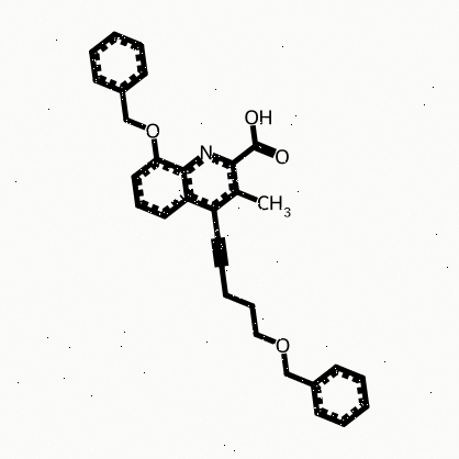 Cc1c(C(=O)O)nc2c(OCc3ccccc3)cccc2c1C#CCCCOCc1ccccc1